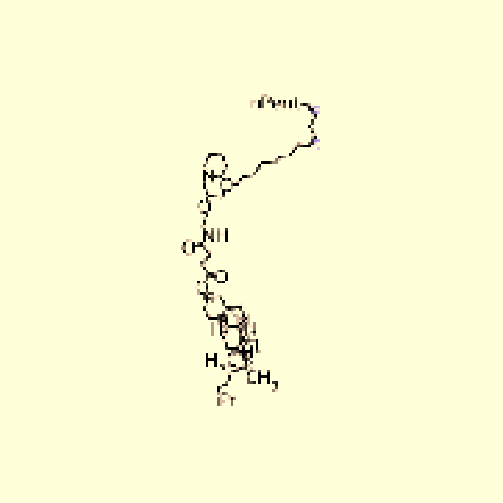 CCCCC/C=C\C/C=C\CCCCCCCCOCC(CN1CCCCC1)OCCNC(=O)CCC(=O)O[C@H]1CC[C@@]2(C)C(=CC[C@H]3[C@@H]4CC[C@H]([C@H](C)CCCC(C)C)[C@@]4(C)CC[C@@H]32)C1